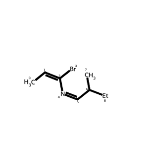 C/C=C(Br)\N=C/C(C)CC